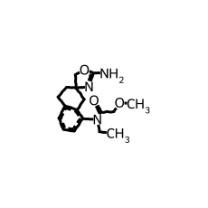 CCN(C(=O)COC)c1cccc2c1CC1(CC2)COC(N)=N1